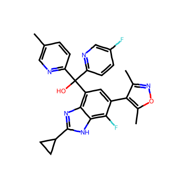 Cc1ccc(C(O)(c2ccc(F)cn2)c2cc(-c3c(C)noc3C)c(F)c3[nH]c(C4CC4)nc23)nc1